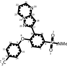 CNS(=O)(=O)c1ccc(Oc2ccc(C(F)(F)F)cc2)c(-c2cc3ncccn3n2)c1